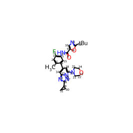 Cc1cc(F)c(NC(=O)c2cnc(C(C)(C)C)o2)cc1-c1cc(N2CCOCC2)n2nc(C3CC3)nc2c1